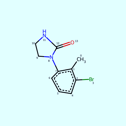 Cc1c(Br)cccc1N1CCNC1=O